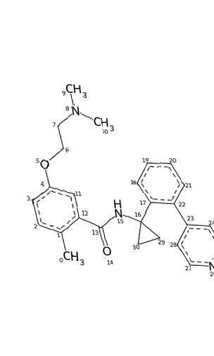 Cc1ccc(OCCN(C)C)cc1C(=O)NC1(c2ccccc2-c2ccncc2)CC1